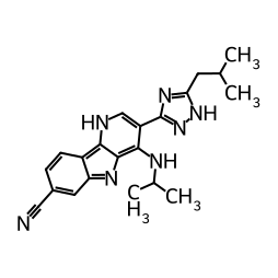 CC(C)Cc1nc(-c2c[nH]c3c4ccc(C#N)cc4nc-3c2NC(C)C)n[nH]1